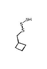 SSSCC1CCC1